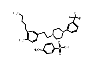 CCCCCc1cc(CCN2CCN(c3cccc(C(F)(F)F)c3)CC2)ccc1C.Cc1ccc(S(=O)(=O)O)cc1